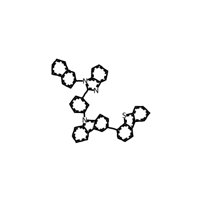 c1cc(-c2nc3ccccc3n2-c2ccc3ccccc3c2)cc(-n2c3ccccc3c3cc(-c4cccc5c4sc4ccccc45)ccc32)c1